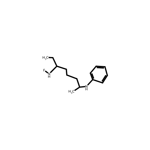 CCC(CCCC(C)Nc1ccccc1)NF